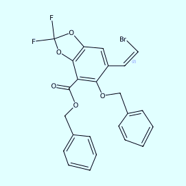 O=C(OCc1ccccc1)c1c(OCc2ccccc2)c(/C=C\Br)cc2c1OC(F)(F)O2